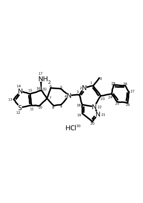 Cc1nc(N2CCC3(CC2)Cc2scnc2[C@H]3N)c2ccnn2c1-c1ccccc1.Cl